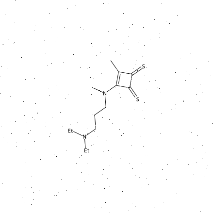 CCN(CC)CCCN(C)c1c(C)c(=S)c1=S